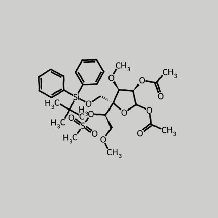 COC[C@@H](OS(C)(=O)=O)[C@]1(CO[Si](c2ccccc2)(c2ccccc2)C(C)(C)C)OC(OC(C)=O)[C@H](OC(C)=O)[C@@H]1OC